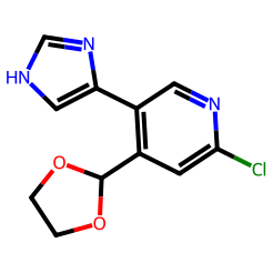 Clc1cc(C2OCCO2)c(-c2c[nH]cn2)cn1